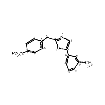 O=C(O)c1ccc(Cc2ncc(-c3cccc(C(F)(F)F)c3)o2)cc1